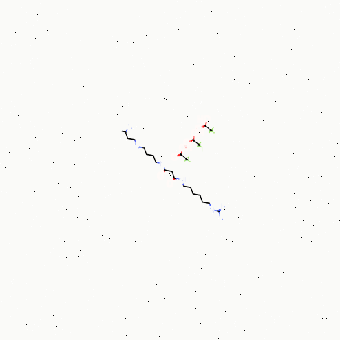 CC(N)CCNCCCCNC(=O)CC(=O)NCCCCCCNC(=N)N.O=C(O)C(F)(F)F.O=C(O)C(F)(F)F.O=C(O)C(F)(F)F